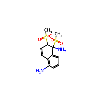 CS(=O)(=O)C1C=Cc2c(N)cccc2C1(N)S(C)(=O)=O